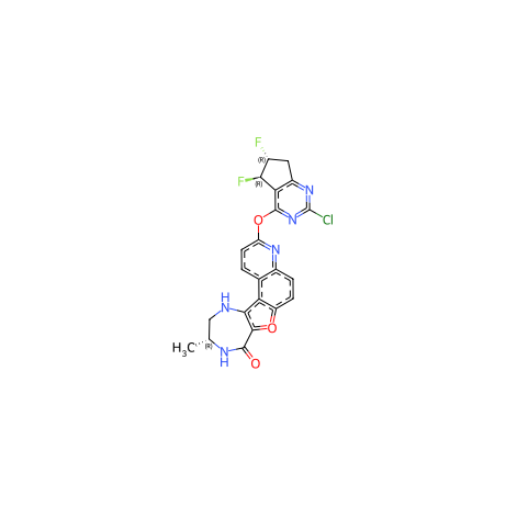 C[C@@H]1CNc2c(oc3ccc4nc(Oc5nc(Cl)nc6c5[C@@H](F)[C@H](F)C6)ccc4c23)C(=O)N1